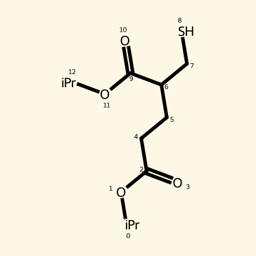 CC(C)OC(=O)CCC(CS)C(=O)OC(C)C